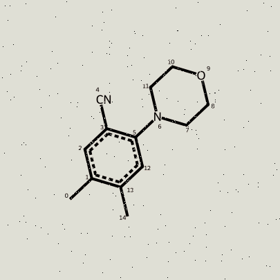 Cc1cc(C#N)c(N2CCOCC2)cc1C